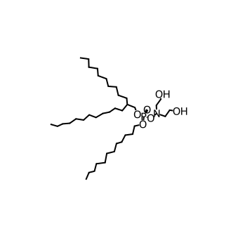 CCCCCCCCCCCCOP(=O)(OCC(CCCCCCCCCC)CCCCCCCCCCCC)ON(CCO)CCO